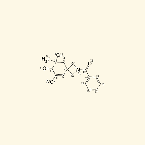 CC1(C)CC2(C=C(C#N)C1=O)CN(C(=O)c1ccccc1)C2